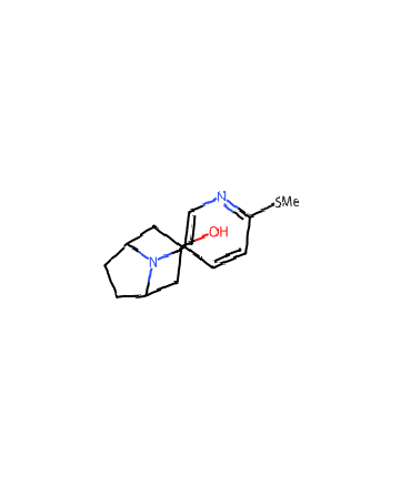 CSc1ccc(N2C3CCC2CC(O)C3)cn1